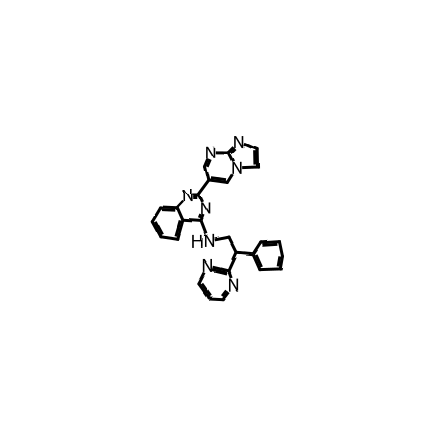 c1ccc(C(CNc2nc(-c3cnc4nccn4c3)nc3ccccc23)c2ncccn2)cc1